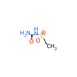 C=CCS(=O)(=O)NC(N)=O